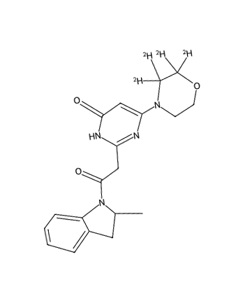 [2H]C1([2H])OCCN(c2cc(=O)[nH]c(CC(=O)N3c4ccccc4CC3C)n2)C1([2H])[2H]